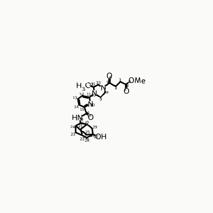 COC(=O)CCC(=O)N1CCN(c2cccc(C(=O)NC3C4CC5CC3CC(O)(C5)C4)n2)C(C)C1